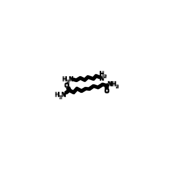 NC(=O)CCCCCCCCC(N)=O.NCCCCCCN